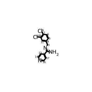 N/C(=N\Cc1ccc(Cl)c(Cl)c1)c1ccncc1